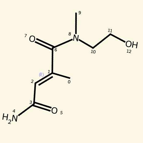 C/C(=C\C(N)=O)C(=O)N(C)CCO